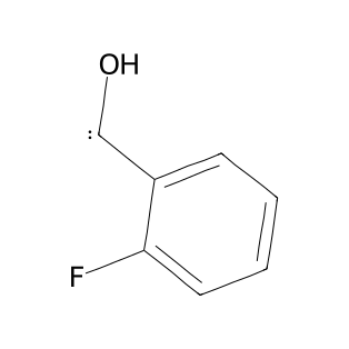 O[C]c1ccccc1F